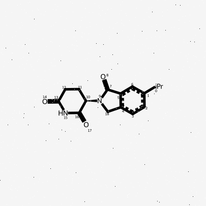 CC(C)c1ccc2c(c1)C(=O)N([C@@H]1CCC(=O)NC1=O)C2